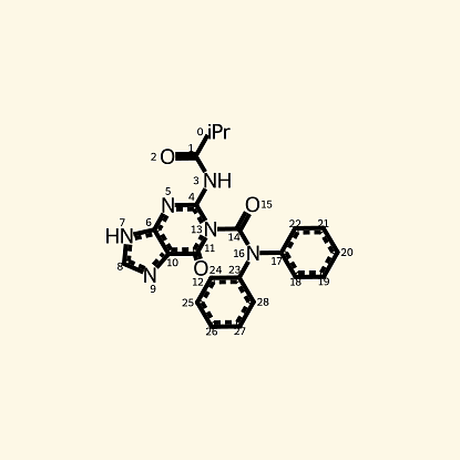 CC(C)C(=O)Nc1nc2[nH]cnc2c(=O)n1C(=O)N(c1ccccc1)c1ccccc1